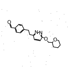 O=Cc1ccc(CCc2ccc(OCC3CCCCO3)nn2)cc1